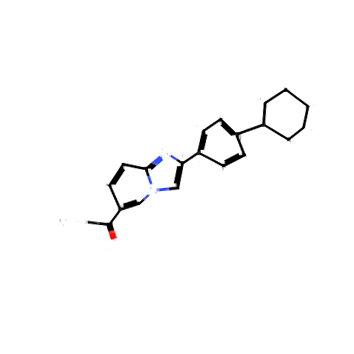 COC(=O)c1ccc2nc(-c3ccc(C4CCCCC4)cc3)cn2c1